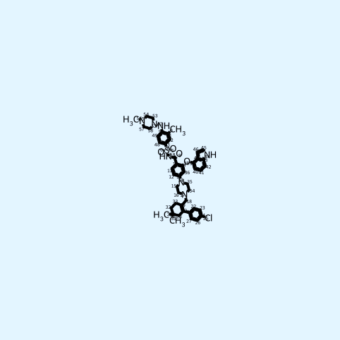 Cc1cc(S(=O)(=O)NC(=O)c2ccc(N3CCN(CC4=C(c5ccc(Cl)cc5)CC(C)(C)CC4)CC3)cc2Oc2cccc3[nH]ccc23)ccc1NN1CCN(C)CC1